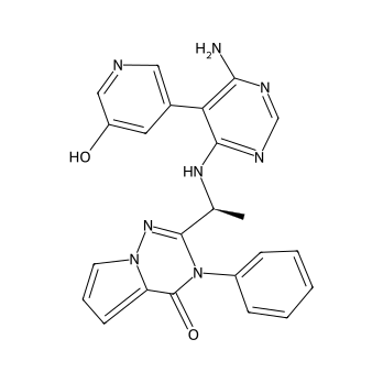 C[C@H](Nc1ncnc(N)c1-c1cncc(O)c1)c1nn2cccc2c(=O)n1-c1ccccc1